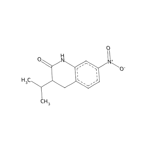 CC(C)C1Cc2ccc([N+](=O)[O-])cc2NC1=O